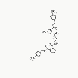 O=C(NC1CN(C(=O)[C@@H]2C[C@H](S)CN2C(=O)OCc2ccc([N+](=O)[O-])cc2)C1)[C@@H]1CCCN1C(=O)OCc1ccc([N+](=O)[O-])cc1